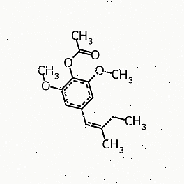 CC/C(C)=C\c1cc(OC)c(OC(C)=O)c(OC)c1